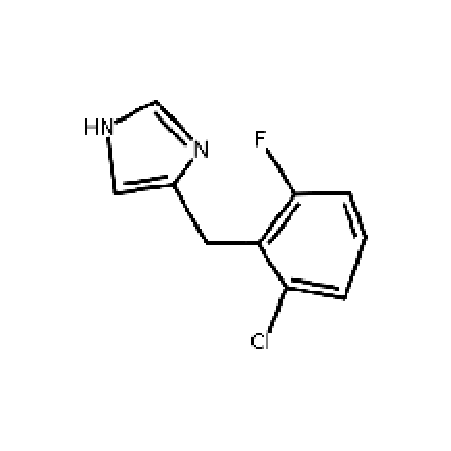 Fc1cccc(Cl)c1Cc1c[nH]cn1